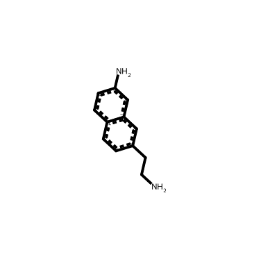 NCCc1ccc2ccc(N)cc2c1